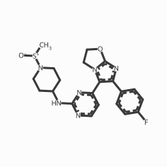 C[S+]([O-])N1CCC(Nc2nccc(-c3c(-c4ccc(F)cc4)nc4n3CCO4)n2)CC1